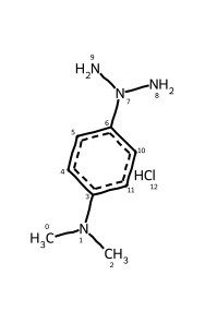 CN(C)c1ccc(N(N)N)cc1.Cl